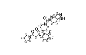 O=C(CN1C(=O)C2(CCN(C(=O)c3ccc4[nH]ncc4n3)CC2)c2c1ccc(F)c2Cl)N1CCCC1